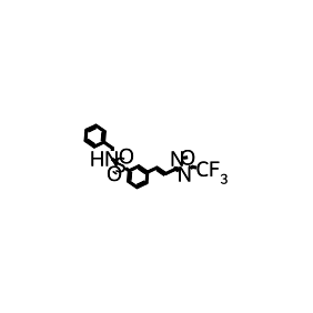 O=S(=O)(NCc1ccccc1)c1cccc(/C=C/c2noc(C(F)(F)F)n2)c1